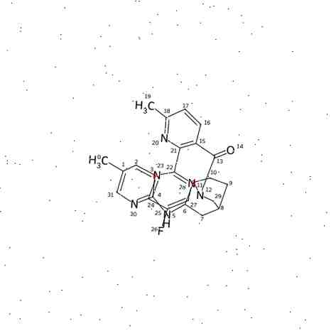 Cc1ccc(NC2CC3CCC2N(C(=O)c2ccc(C)nc2-c2ncc(F)cn2)C3)nc1